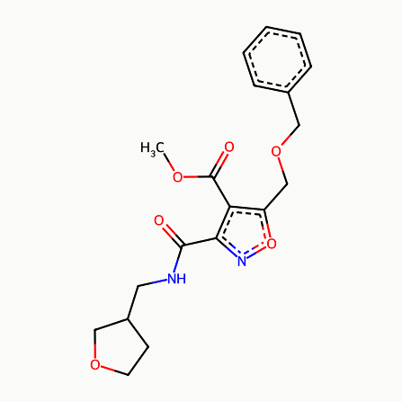 COC(=O)c1c(C(=O)NCC2CCOC2)noc1COCc1ccccc1